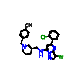 N#Cc1ccc(CN2CCCC(CNc3cc(-c4ccccc4Cl)nc4c(Br)cnn34)C2)cc1